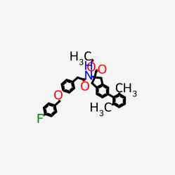 CCOC(=O)C1(NC(=O)Cc2ccc(OCc3ccc(F)cc3)cc2)Cc2ccc(-c3c(C)cccc3C)cc2C1